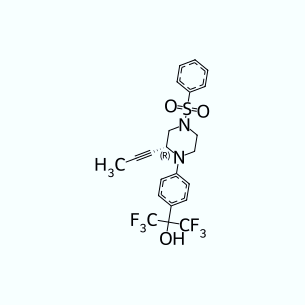 CC#C[C@@H]1CN(S(=O)(=O)c2ccccc2)CCN1c1ccc(C(O)(C(F)(F)F)C(F)(F)F)cc1